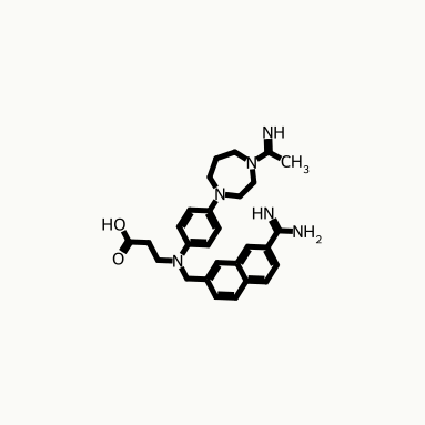 CC(=N)N1CCCN(c2ccc(N(CCC(=O)O)Cc3ccc4ccc(C(=N)N)cc4c3)cc2)CC1